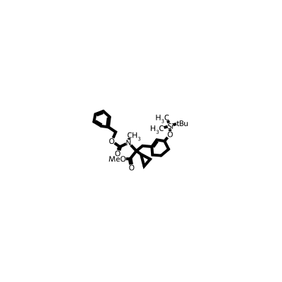 COC(=O)C(CC1=CC(O[Si](C)(C)C(C)(C)C)CCC1)(C1CC1)N(C)C(=O)OCc1ccccc1